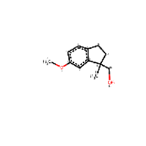 COc1ccc2c(c1)C(C)(CO)CC2